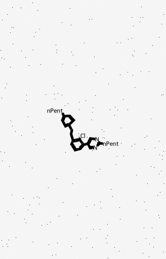 CCCCCc1ccc(CCc2cccc(-c3cnc(CCCCC)nc3)c2Cl)cc1